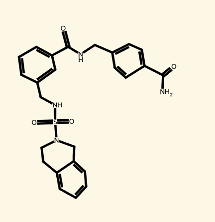 NC(=O)c1ccc(CNC(=O)c2cccc(CNS(=O)(=O)N3CCc4ccccc4C3)c2)cc1